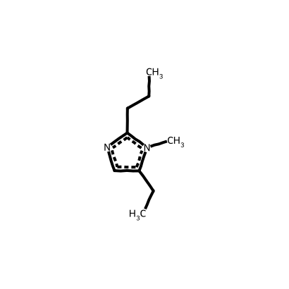 CCCc1ncc(CC)n1C